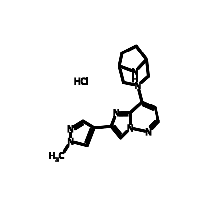 Cl.Cn1cc(-c2cn3nccc(N4CC5CCC(C4)N5)c3n2)cn1